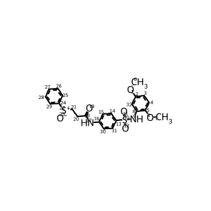 COc1ccc(OC)c(NS(=O)(=O)c2ccc(NC(=O)CC[S+]([O-])c3ccccc3)cc2)c1